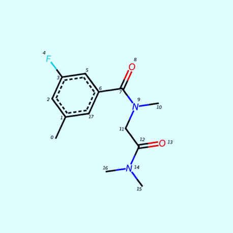 Cc1cc(F)cc(C(=O)N(C)CC(=O)N(C)C)c1